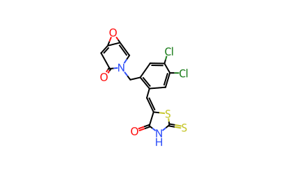 O=C1NC(=S)SC1=Cc1cc(Cl)c(Cl)cc1Cn1cc2c(cc1=O)O2